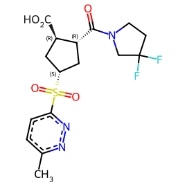 Cc1ccc(S(=O)(=O)[C@@H]2C[C@@H](C(=O)O)[C@H](C(=O)N3CCC(F)(F)C3)C2)nn1